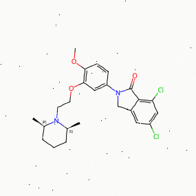 COc1ccc(N2Cc3cc(Cl)cc(Cl)c3C2=O)cc1OCCN1[C@H](C)CCC[C@@H]1C